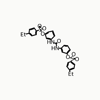 CCc1ccc(S(=O)(=O)Oc2cccc(NC(=O)Nc3cccc(OS(=O)(=O)c4ccc(CC)cc4)c3)c2)cc1